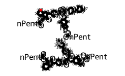 CCCCCC(=O)OCn1cc2cc(C[C@@H](NC(=O)N3CCC(c4cc5ccccc5n(COC(=O)CCCCC)c4=O)CC3)C(=O)N3CCN(C4CCN(C)CC4)CC3)cc(C)c2n1.CCCCCOC(=O)n1ncc2cc(C[C@@H](NC(=O)N3CCC(c4cc5ccccc5n(COC(=O)CCCCC)c4=O)CC3)C(=O)N3CCN(C4CCN(C)CC4)CC3)cc(C)c21